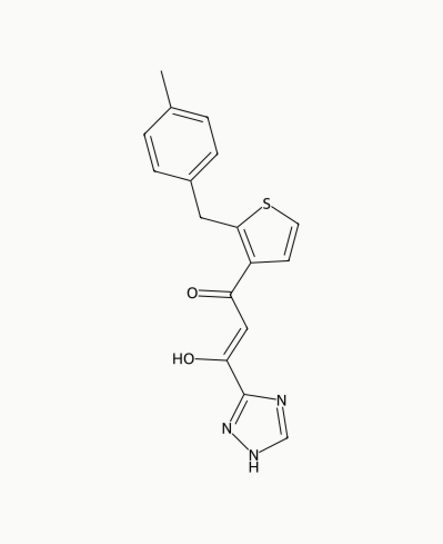 Cc1ccc(Cc2sccc2C(=O)C=C(O)c2nc[nH]n2)cc1